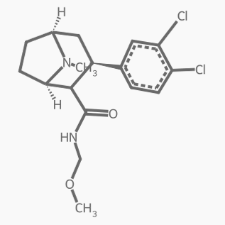 COCNC(=O)C1[C@H]2CC[C@@H](C[C@H]1c1ccc(Cl)c(Cl)c1)N2C